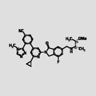 CO[C@@H](C)[C@H](C)NCc1cc(F)c2c(c1)C(=O)N(c1cc(-c3ccc(C#N)cc3-c3nncn3C)cc(C3CC3)n1)C2